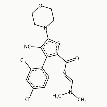 CN(C)C=NC(=O)c1sc(N2CCOCC2)c(C#N)c1-c1ccc(Cl)cc1Cl